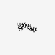 Fc1cccc2[nH]c3c(c12)CN(c1ccc(N2CCCCC2)cn1)CC3